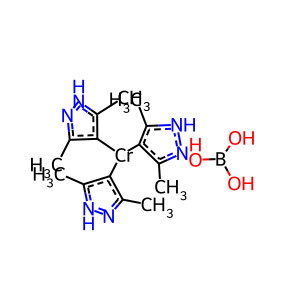 Cc1n[nH]c(C)[c]1[Cr]([c]1c(C)n[nH]c1C)[c]1c(C)n[nH]c1C.OB(O)O